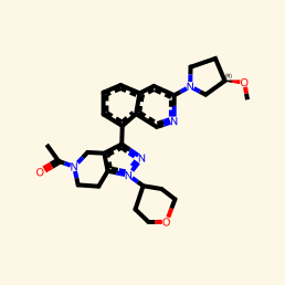 CO[C@@H]1CCN(c2cc3cccc(-c4nn(C5CCOCC5)c5c4CN(C(C)=O)CC5)c3cn2)C1